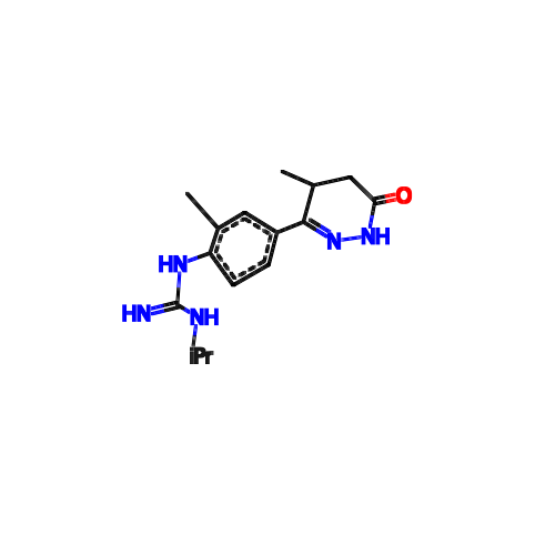 Cc1cc(C2=NNC(=O)CC2C)ccc1NC(=N)NC(C)C